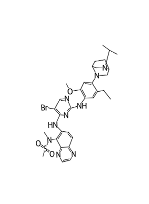 CCc1cc(Nc2ncc(Br)c(Nc3ccc4nccnc4c3N(C)S(C)(=O)=O)n2)c(OC)cc1N1CC2CCC1CN2C(C)C